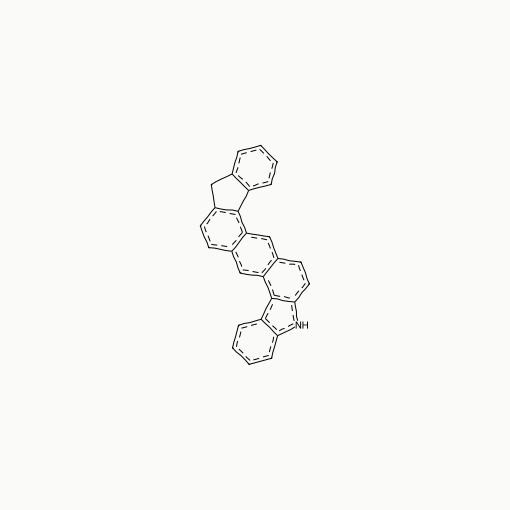 c1ccc2c(c1)Cc1ccc3cc4c(ccc5[nH]c6ccccc6c54)cc3c1-2